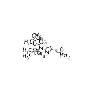 CC(C)(C)OC(=O)N(C(=O)OC(C)(C)C)c1ccc(/C=C/C(N)=O)cn1